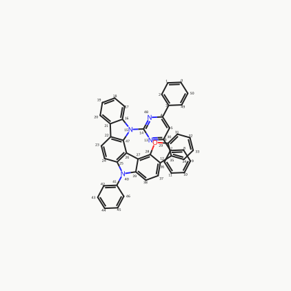 c1ccc(-c2cc(-c3ccccc3)nc(-n3c4ccccc4c4ccc5c(c6c7oc8ccccc8c7ccc6n5-c5ccccc5)c43)n2)cc1